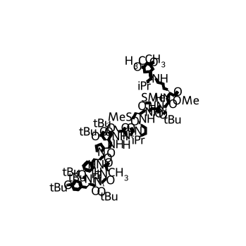 COC(=O)[C@@H](CCCCNC(CC(C)C)=C1CC(=O)C(C)(C)C(=O)C1)NC(=O)[C@H](COC(C)(C)C)NC(=O)[C@H](CCSC)NC(=O)[C@H](CCSC)NC(=O)[C@@H]1CCCN1C(=O)[C@@H](NC(=O)[C@H](COC(C)(C)C)NC(=O)[C@H](CC(=O)OC(C)(C)C)NC(=O)[C@@H]1CCCN1C(=O)[C@H](Cc1ccc(OC(C)(C)C)cc1)NC(=O)[C@H](C)NC(=O)[C@H](COC(C)(C)C)NC(=O)[C@@H](Cc1ccc(OC(C)(C)C)cc1)NC(C)(C)C)C(C)C